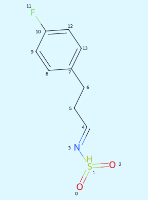 O=[SH](=O)N=CCCc1ccc(F)cc1